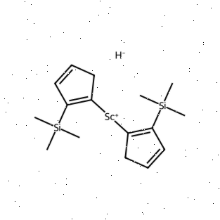 C[Si](C)(C)C1=[C]([Sc+][C]2=C([Si](C)(C)C)C=CC2)CC=C1.[H-]